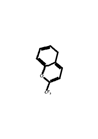 FC(F)(F)C1=CC=C2CC=CC=C2O1